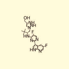 CC(C)(C)[C@@H](CN1C=C(CO)NN1)Nc1nc(-c2c[nH]c3ncc(F)cc23)ncc1F